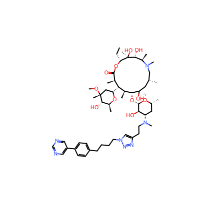 CC[C@H]1OC(=O)[C@H](C)[C@@H](C2C[C@@](C)(OC)[C@@H](O)[C@H](C)O2)[C@H](C)[C@@H](O[C@@H]2O[C@H](C)C[C@H](N(C)CCc3cn(CCCCc4ccc(-c5cncnc5)cc4)nn3)[C@H]2O)[C@](C)(O)C[C@@H](C)CN(C)[C@H](C)[C@@H](O)[C@]1(C)O